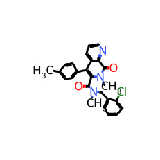 Cc1ccc(-c2c(C(=O)N(C)Cc3ccccc3Cl)n(C)c(=O)c3ncccc23)cc1